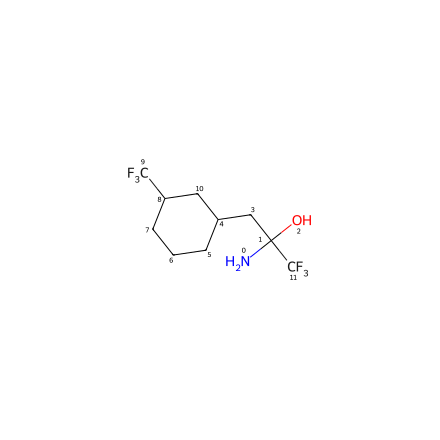 NC(O)(CC1CCCC(C(F)(F)F)C1)C(F)(F)F